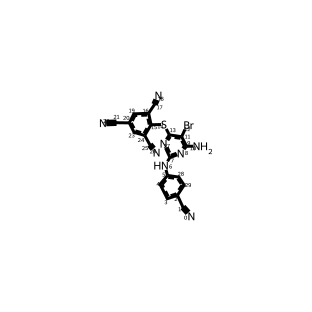 N#Cc1ccc(Nc2nc(N)c(Br)c(Sc3c(C#N)cc(C#N)cc3C#N)n2)cc1